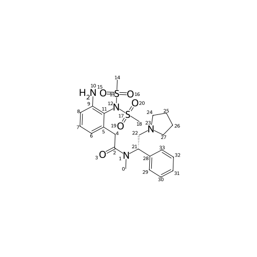 CN(C(=O)Cc1cccc(N)c1N(S(C)(=O)=O)S(C)(=O)=O)[C@H](CN1CCCC1)c1ccccc1